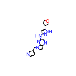 c1cncc(Cn2ccc3ncc(Nc4cc([C@@H]5CCOC5)[nH]n4)nc32)c1